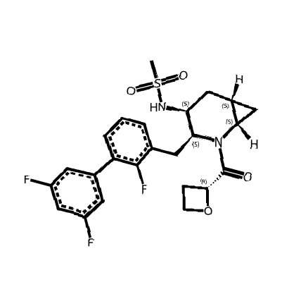 CS(=O)(=O)N[C@H]1C[C@@H]2C[C@@H]2N(C(=O)[C@H]2CCO2)[C@H]1Cc1cccc(-c2cc(F)cc(F)c2)c1F